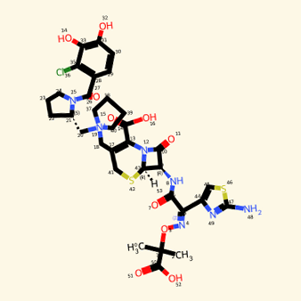 CC(C)(O/N=C(\C(=O)N[C@@H]1C(=O)N2C(C(=O)O)=C(C[N+]3(C[C@@H]4CCCN4C(=O)c4ccc(O)c(O)c4Cl)CCCC3)CS[C@H]12)c1csc(N)n1)C(=O)O